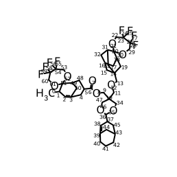 CC1C=C2CC(C(=O)OCC3(COCC45CC6CC(C4)C4(OCC(F)(F)C(F)(F)CO4)C(C6)C5)COC(C4C=C5CCCC(C5)C4)OC3)CC(C2)C12OCC(F)(F)C(F)(F)CO2